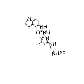 CC(=O)NCCNc1cc(C)nc(NC(=O)Nc2ccc3ncccc3c2)n1